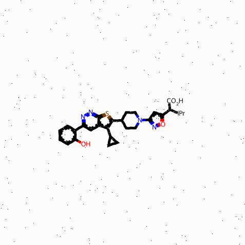 CC(C)C(C(=O)O)c1cc(N2CCC(c3sc4nnc(-c5ccccc5O)cc4c3C3CC3)CC2)no1